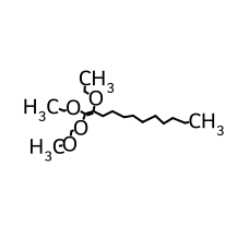 CCCCCCCCCCC(OCC)=C(OCC)OCOC